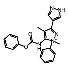 CC1=C(NC(=O)Oc2ccccc2)[N+](C)(c2ccccc2)N=C1c1cn[nH]c1